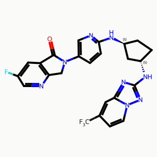 O=C1c2cc(F)cnc2CN1c1ccc(N[C@H]2CC[C@H](Nc3nc4cc(C(F)(F)F)ccn4n3)C2)nc1